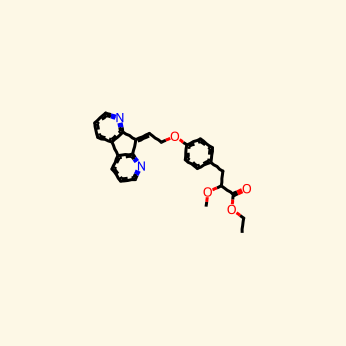 CCOC(=O)C(Cc1ccc(OCC=C2c3ncccc3-c3cccnc32)cc1)OC